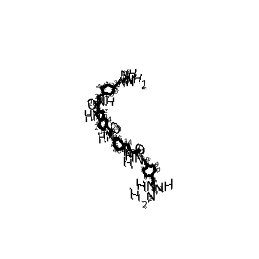 N=C(N)NCC1CCC(CNC(=O)c2cc3cc(NC(=O)c4ccc5[nH]c(C(=O)NCC6CCC(CNC(=N)N)CC6)cc5c4)ccc3[nH]2)CC1